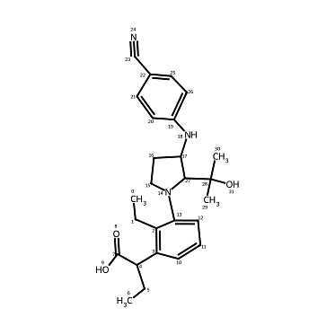 CCc1c(C(CC)C(=O)O)cccc1N1CCC(Nc2ccc(C#N)cc2)C1C(C)(C)O